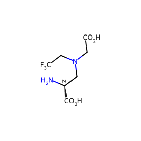 N[C@@H](CN(CC(=O)O)CC(F)(F)F)C(=O)O